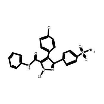 CCn1nc(-c2ccc(S(N)(=O)=O)cc2)c(-c2ccc(Cl)cc2)c1C(=O)Nc1ccccc1